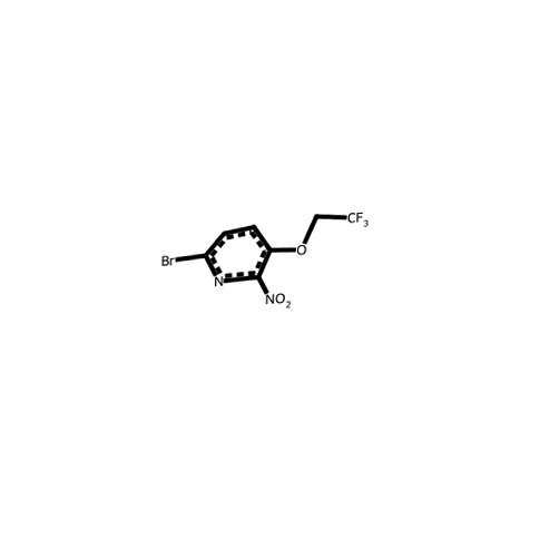 O=[N+]([O-])c1nc(Br)ccc1OCC(F)(F)F